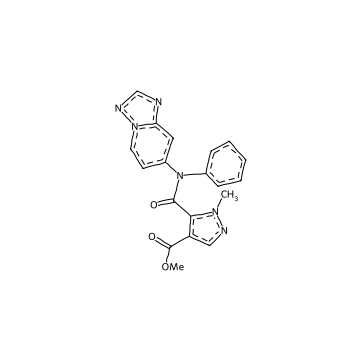 COC(=O)c1cnn(C)c1C(=O)N(c1ccccc1)c1ccn2ncnc2c1